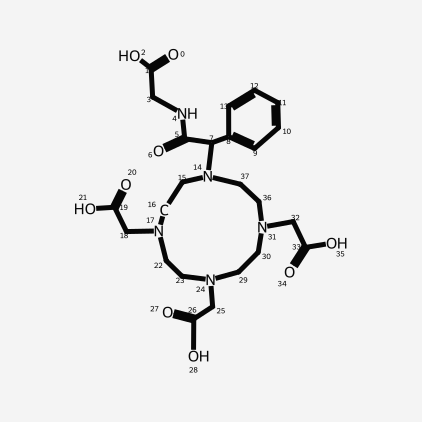 O=C(O)CNC(=O)C(c1ccccc1)N1CCN(CC(=O)O)CCN(CC(=O)O)CCN(CC(=O)O)CC1